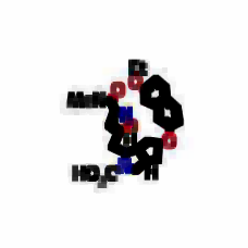 CCOc1ccc2ccc(O[C@H]3C[C@H]4CN(C(=O)O)C(Cc5cc(C(=O)NC)no5)[C@H]4C3)cc2c1